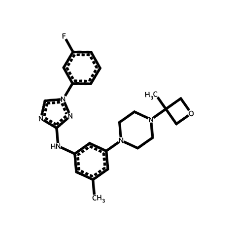 Cc1cc(Nc2ncn(-c3cccc(F)c3)n2)cc(N2CCN(C3(C)COC3)CC2)c1